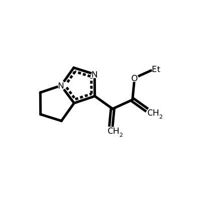 C=C(OCC)C(=C)c1ncn2c1CCC2